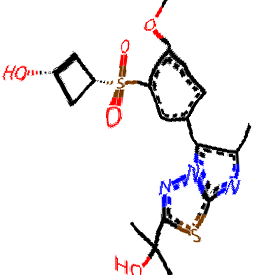 COc1ccc(-c2c(C)nc3sc(C(C)(C)O)nn23)cc1S(=O)(=O)[C@H]1C[C@@H](O)C1